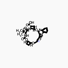 CC(C)(C)[C@@H]1NC(=O)O[C@@H]2CC[C@H]2OC/C=C/C(F)(F)c2nc3ccccc3nc2O[C@@H]2C[C@@H](C(=O)O)N(C2)C1=O